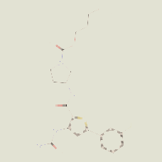 CCCCOC(=O)N1CC[C@H](NC(=O)c2sc(-c3cccc(F)c3)cc2NC(N)=O)C1